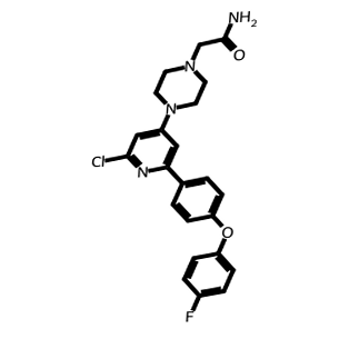 NC(=O)CN1CCN(c2cc(Cl)nc(-c3ccc(Oc4ccc(F)cc4)cc3)c2)CC1